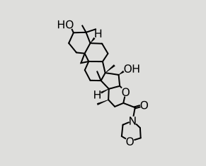 C[C@@H]1CC(C(=O)N2CCOCC2)OC2[C@H]1C1(C)CCC34CC35CCC(O)C(C)(C)[C@@H]5CCC4[C@]1(C)[C@H]2O